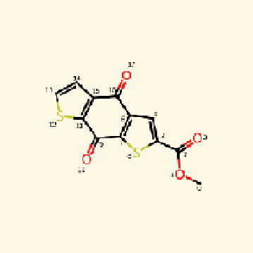 COC(=O)c1cc2c(s1)C(=O)c1sccc1C2=O